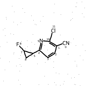 N#Cc1ccc(C2CC2F)nc1Cl